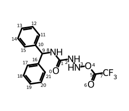 O=C(NNOC(=O)C(F)(F)F)NC(c1ccccc1)c1ccccc1